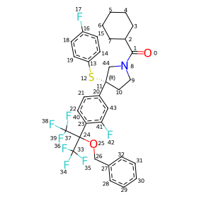 O=C(C1CCCCC1)N1CC[C@@](Sc2ccc(F)cc2)(c2ccc(C(OCc3ccccc3)(C(F)(F)F)C(F)(F)F)c(F)c2)C1